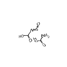 NC(=O)O.O=S=NC(=O)O